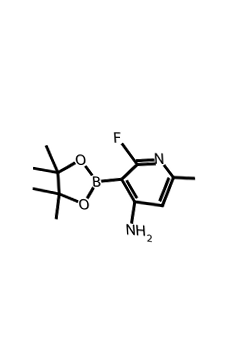 Cc1cc(N)c(B2OC(C)(C)C(C)(C)O2)c(F)n1